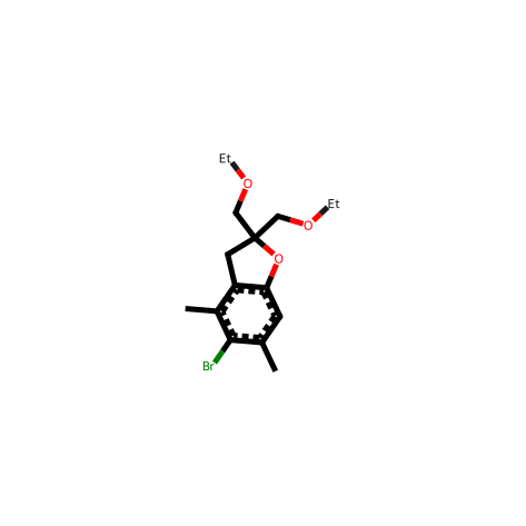 CCOCC1(COCC)Cc2c(cc(C)c(Br)c2C)O1